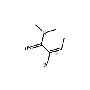 C/C=C(/Br)C(=N)N(C)C